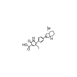 CCc1cc(C(=O)O)c(=O)[nH]c1-c1ccc(N2C[C@H]3CCCC[C@]3(CN(C)C)C2)cc1